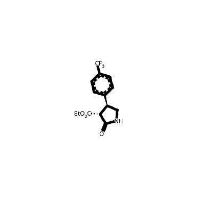 CCOC(=O)[C@H]1C(=O)NC[C@@H]1c1ccc(C(F)(F)F)cc1